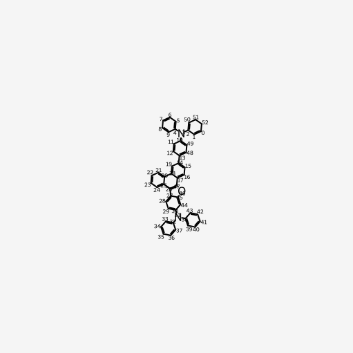 C1=CC(N(c2ccccc2)c2ccc(-c3ccc4c(c3)c3ccccc3c3c5ccc(N(c6ccccc6)c6ccccc6)cc5oc43)cc2)=CCC1